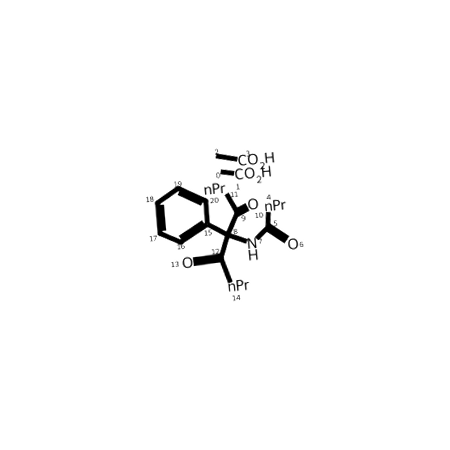 CC(=O)O.CC(=O)O.CCCC(=O)NC(C(=O)CCC)(C(=O)CCC)c1ccccc1